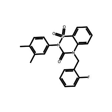 Cc1ccc(N2C(=O)N(Cc3ccccc3F)c3ccccc3S2(=O)=O)cc1C